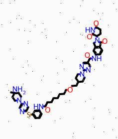 CC1(N)CCN(c2cnc(Sc3cccc(NC(=O)CCCCCCCOCCC4CCN(c5ncc(C(=O)Nc6ccc7c(c6)CN(C6CCC(=O)NC6=O)C7=O)cn5)CC4)c3)cn2)CC1